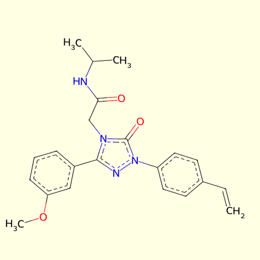 C=Cc1ccc(-n2nc(-c3cccc(OC)c3)n(CC(=O)NC(C)C)c2=O)cc1